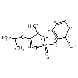 CC(C)OC(=O)C(C)NP(=O)(Cl)OC1=CC=CCC1C